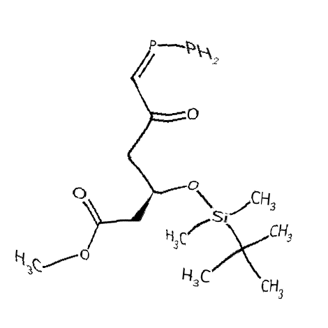 COC(=O)C[C@@H](CC(=O)/C=P\P)O[Si](C)(C)C(C)(C)C